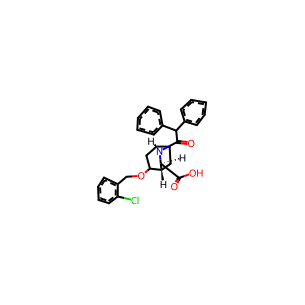 O=C(O)[C@H]1[C@@H]2CC[C@@H](CC2OCc2ccccc2Cl)N1C(=O)C(c1ccccc1)c1ccccc1